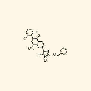 CCn1c(COCc2ccccc2)nn(-c2ccc3c(=O)n(-c4c(F)cccc4Cl)cc(C4(C)CC4)c3c2)c1=O